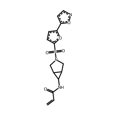 C=CC(=O)NC1C2CN(S(=O)(=O)c3ccc(-c4ccno4)o3)CC21